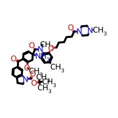 COC1=C(C(=O)c2ccc3c(c2)N(C(=O)OC(C)(C)C)CC3)C=CC(N)(C(=O)N(C)c2ccc(C)cc2OCCCCCC(=O)N2CCN(C)CC2)C1